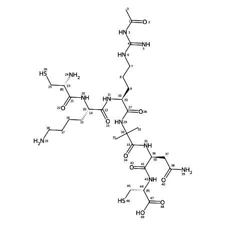 CC(=O)NC(=N)NCCC[C@H](NC(=O)[C@H](CCCCN)NC(=O)[C@@H](N)CS)C(=O)NC(C)(C)C(=O)N[C@@H](CC(N)=O)C(=O)N[C@@H](CS)C(=O)O